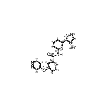 CC(C)n1cnnc1-c1cccc(NC(=O)c2cc(Oc3ccnnc3)ccn2)n1